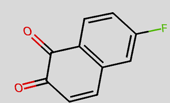 O=C1C=Cc2cc(F)ccc2C1=O